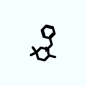 CC1CCC(C)(C)CN1Cc1ccccc1